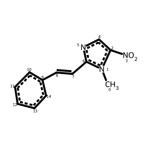 Cn1c([N+](=O)[O-])cnc1C=Cc1ccccc1